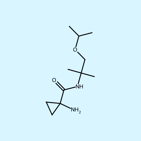 CC(C)OCC(C)(C)NC(=O)C1(N)CC1